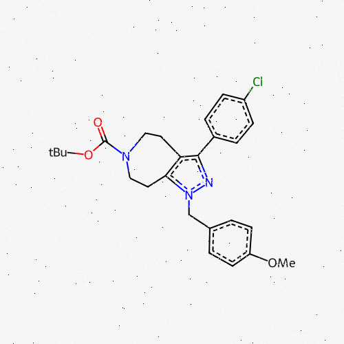 COc1ccc(Cn2nc(-c3ccc(Cl)cc3)c3c2CCN(C(=O)OC(C)(C)C)CC3)cc1